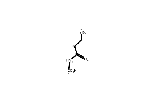 CCCCCCC(=O)NC(=O)O